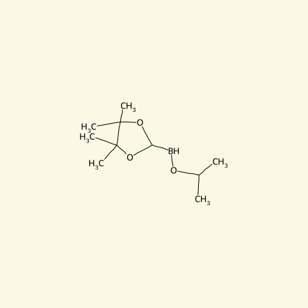 CC(C)OBC1OC(C)(C)C(C)(C)O1